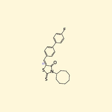 O=C1/C(=C\c2ccc(-c3ccc(F)cc3)cc2)SC(=S)N1C1CCCCCCC1